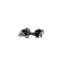 CCCC(=O)NC(C(=O)NCCCCOc1ccc(C(C)(C)CC)cc1C(C)(C)CC)C(C)CC